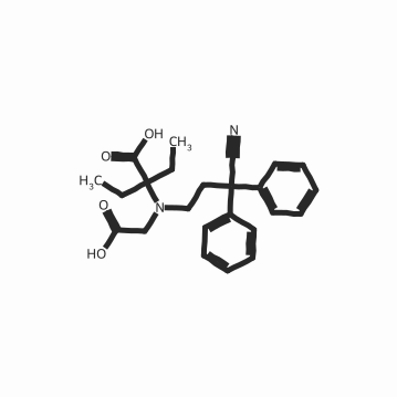 CCC(CC)(C(=O)O)N(CCC(C#N)(c1ccccc1)c1ccccc1)CC(=O)O